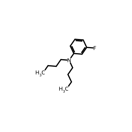 CCCCN(CCCC)c1cccc(F)c1